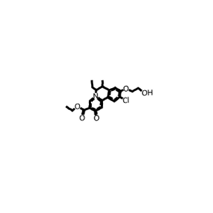 CCOC(=O)c1cn2c(cc1=O)-c1cc(Cl)c(OCCO)cc1C(C)C2CC